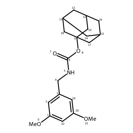 COc1cc(CNC(=O)OC23CC4CC(CC(C4)C2)C3)cc(OC)c1